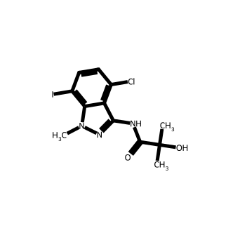 Cn1nc(NC(=O)C(C)(C)O)c2c(Cl)ccc(I)c21